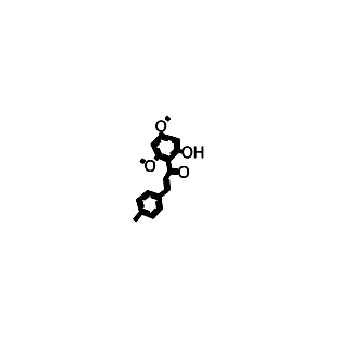 COc1cc(O)c(C(=O)C=Cc2ccc(C)cc2)c(OC)c1